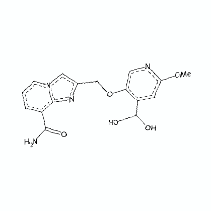 COc1cc(C(O)O)c(OCc2cn3cccc(C(N)=O)c3n2)cn1